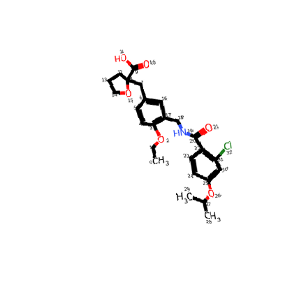 CCOc1ccc(CC2(C(=O)O)CCCO2)cc1CNC(=O)c1ccc(OC(C)C)cc1Cl